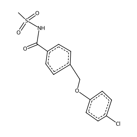 CS(=O)(=O)NC(=O)c1ccc(COc2ccc(Cl)cc2)cc1